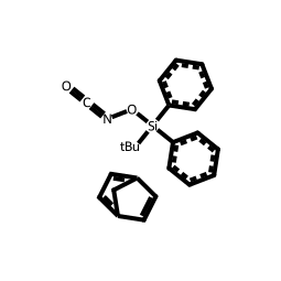 C1=CC2=CC=C1C2.CC(C)(C)[Si](ON=C=O)(c1ccccc1)c1ccccc1